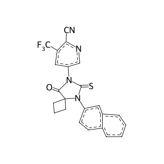 N#Cc1ncc(N2C(=O)C3(CCC3)N(c3ccc4ccccc4c3)C2=S)cc1C(F)(F)F